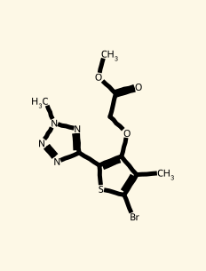 COC(=O)COc1c(-c2nnn(C)n2)sc(Br)c1C